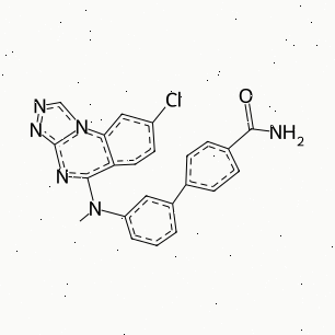 CN(c1cccc(-c2ccc(C(N)=O)cc2)c1)c1nc2nncn2c2cc(Cl)ccc12